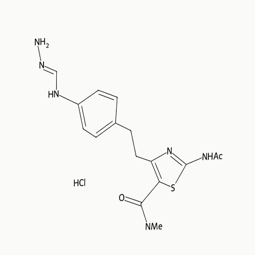 CNC(=O)c1sc(NC(C)=O)nc1CCc1ccc(NC=NN)cc1.Cl